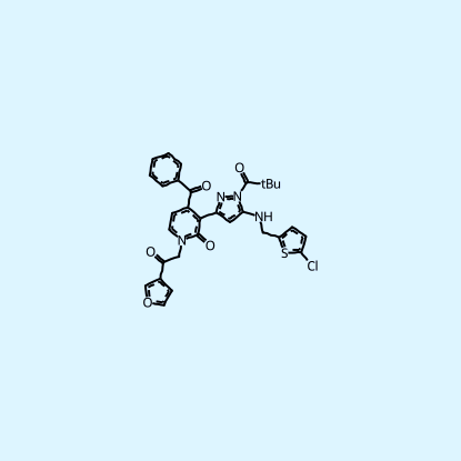 CC(C)(C)C(=O)n1nc(-c2c(C(=O)c3ccccc3)ccn(CC(=O)c3ccoc3)c2=O)cc1NCc1ccc(Cl)s1